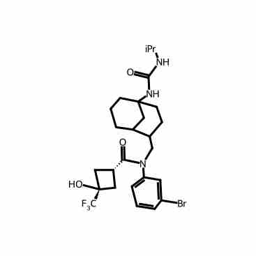 CC(C)NC(=O)NC12CCCC(C1)C(CN(c1cccc(Br)c1)C(=O)[C@H]1C[C@](O)(C(F)(F)F)C1)CC2